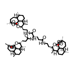 C[C@H]1[C@@H](CCNC(=O)CC[C@H](NC(=O)CC[C@H]2O[C@@H]3O[C@]4(C)CC[C@H]5[C@H](C)CC[C@@H]([C@H]2C)[C@@]35OO4)C(=O)NCC[C@H]2O[C@@H]3O[C@]4(C)CC[C@H]5[C@H](C)CC[C@@H]([C@H]2C)[C@@]35OO4)O[C@@H]2O[C@]3(C)CC[C@H]4[C@H](C)CC[C@@H]1[C@@]24OO3